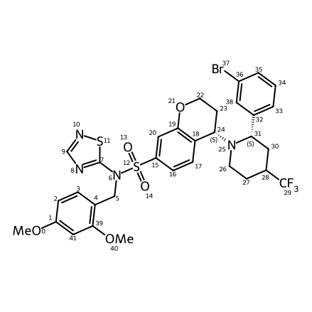 COc1ccc(CN(c2ncns2)S(=O)(=O)c2ccc3c(c2)OCC[C@@H]3N2CCC(C(F)(F)F)C[C@H]2c2cccc(Br)c2)c(OC)c1